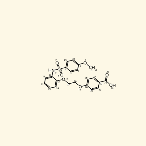 COc1ccc(S(=O)(=O)Nc2ccccc2OCCOc2ccc(C(=O)O)cc2)cc1